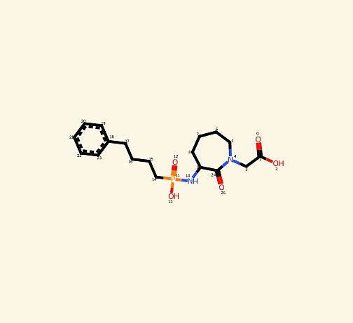 O=C(O)CN1CCCCC(NP(=O)(O)CCCCc2ccccc2)C1=O